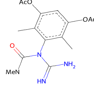 CNC(=O)N(C(=N)N)c1c(C)c(OC(C)=O)cc(OC(C)=O)c1C